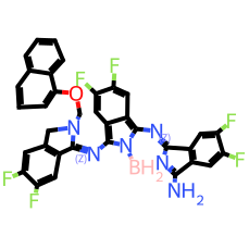 Bn1c(/N=C2\N=C(N)c3cc(F)c(F)cc32)c2cc(F)c(F)cc2c1/N=C1/c2cc(F)c(F)cc2CN1COc1cccc2ccccc12